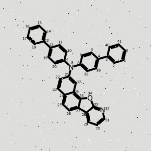 c1ccc(-c2ccc(N(c3ccc(-c4ccccc4)cc3)c3ccc4ccc5c6cccnc6oc5c4c3)cc2)cc1